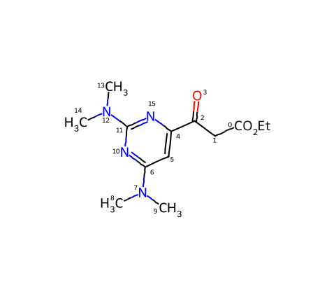 CCOC(=O)CC(=O)c1cc(N(C)C)nc(N(C)C)n1